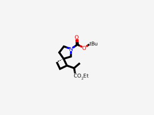 CCOC(=O)C(C)C1CC[C@@]12CCN(C(=O)OC(C)(C)C)C2